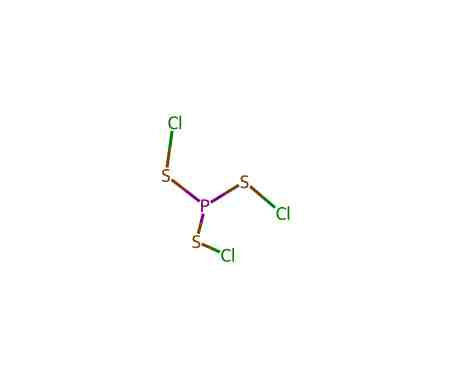 ClSP(SCl)SCl